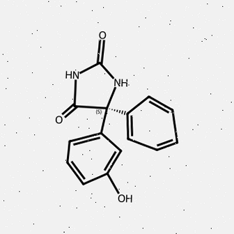 O=C1NC(=O)[C@](c2ccccc2)(c2cccc(O)c2)N1